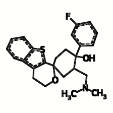 CN(C)CC1CC2(CCC1(O)c1cccc(F)c1)OCCc1c2sc2ccccc12